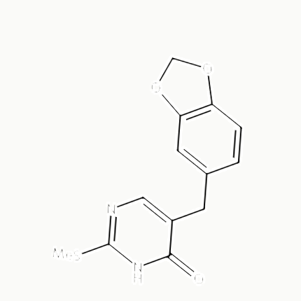 CSc1ncc(Cc2ccc3c(c2)OCO3)c(=O)[nH]1